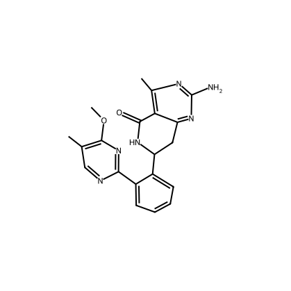 COc1nc(-c2ccccc2C2Cc3nc(N)nc(C)c3C(=O)N2)ncc1C